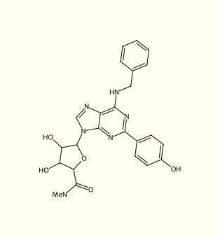 CNC(=O)C1OC(n2cnc3c(NCc4ccccc4)nc(-c4ccc(O)cc4)nc32)C(O)C1O